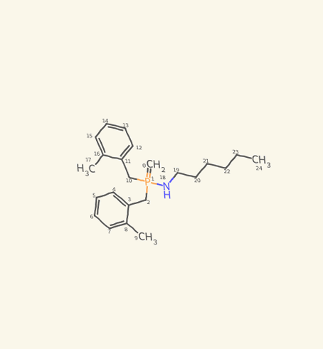 C=P(Cc1ccccc1C)(Cc1ccccc1C)NCCCCCC